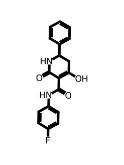 O=C(Nc1ccc(F)cc1)C1=C(O)CC(c2ccccc2)NC1=O